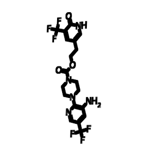 Nc1cc(C(F)(F)F)cnc1N1CCN(C(=O)OCCc2c[nH]c(=O)c(C(F)(F)F)c2)CC1